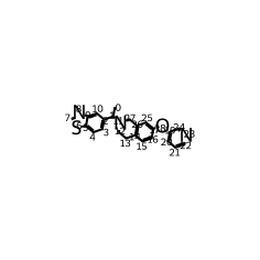 CC(c1ccc2scnc2c1)N1CCc2ccc(Oc3cccnc3)cc2C1